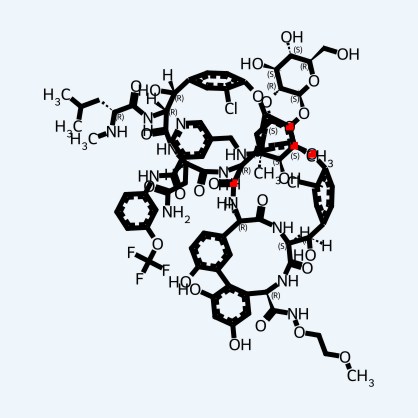 CN[C@H](CC(C)C)C(=O)N[C@H]1C(=O)N[C@@H](CC(N)=O)C(=O)N[C@H]2C(=O)N[C@H]3C(=O)N[C@H](C(=O)N[C@@H](C(=O)NOCCOC)c4cc(O)cc(O)c4-c4cc3ccc4O)[C@H](O)c3ccc(c(Cl)c3)Oc3cc2cc(c3O[C@@H]2O[C@H](CO)[C@@H](O)[C@H](O)[C@H]2O[C@H]2C[C@](C)(NCc3cncc(C(=O)Nc4cccc(OC(F)(F)F)c4)c3)[C@H](O)[C@H](C)O2)Oc2ccc(cc2Cl)[C@H]1O